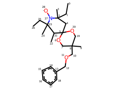 CCC1(C)CC2(OCC(C)(COCc3ccccc3)CO2)C(C)C(C)(CC)N1[O]